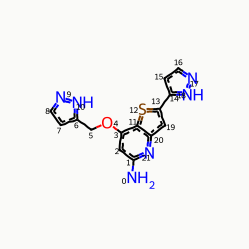 Nc1cc(OCc2ccn[nH]2)c2sc(-c3ccn[nH]3)cc2n1